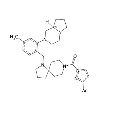 CC(=O)c1ccn(C(=O)N2CCC3(CCCN3Cc3ccc(C)cc3N3CCN4CCC[C@@H]4C3)CC2)n1